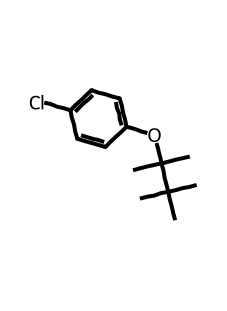 CC(C)(C)C(C)(C)Oc1ccc(Cl)cc1